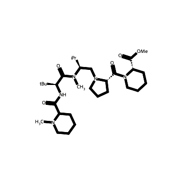 COC(=O)[C@@H]1CCCCN1C(=O)[C@@H]1CCCN1C[C@H](C(C)C)N(C)C(=O)[C@@H](NC(=O)C1CCCCN1C)C(C)(C)C